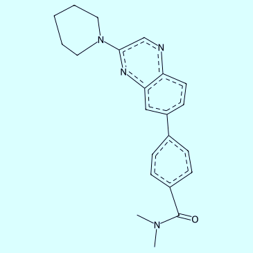 CN(C)C(=O)c1ccc(-c2ccc3ncc(N4CCCCC4)nc3c2)cc1